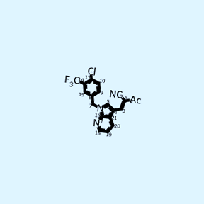 CC(=O)/C(C#N)=C/c1cn(Cc2ccc(Cl)c(C(F)(F)F)c2)c2ncccc12